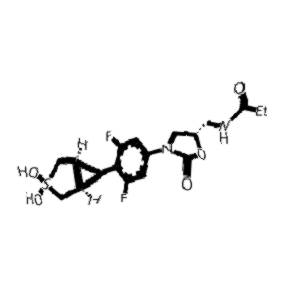 CCC(=O)NC[C@H]1CN(c2cc(F)c(C3[C@H]4CS(O)(O)C[C@@H]34)c(F)c2)C(=O)O1